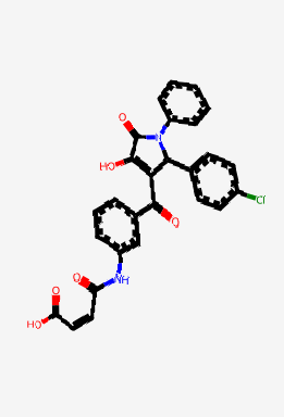 O=C(O)/C=C\C(=O)Nc1cccc(C(=O)C2=C(O)C(=O)N(c3ccccc3)C2c2ccc(Cl)cc2)c1